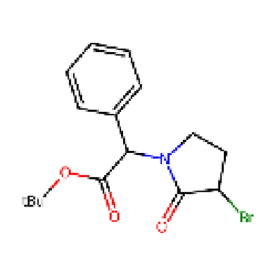 CC(C)(C)OC(=O)C(c1ccccc1)N1CCC(Br)C1=O